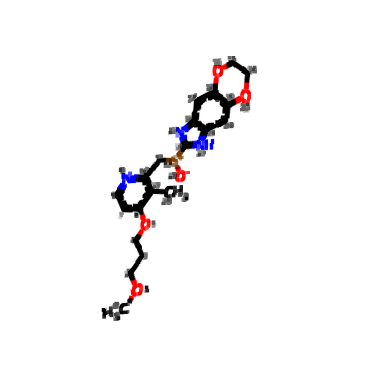 COCCCOc1ccnc(C[S+]([O-])c2nc3cc4c(cc3[nH]2)OCCO4)c1C